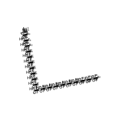 O=C(O)C(F)(F)F.O=C(O)C(F)(F)F.O=C(O)C(F)(F)F.O=C(O)C(F)(F)F.O=C(O)C(F)(F)F.O=C(O)C(F)(F)F.O=C(O)C(F)(F)F.O=C(O)C(F)(F)F.O=C(O)C(F)(F)F.O=C(O)C(F)(F)F.O=C(O)C(F)(F)F.O=C(O)C(F)(F)F.O=C(O)C(F)(F)F.O=C(O)C(F)(F)F.O=C(O)C(F)(F)F.O=C(O)C(F)(F)F.O=C(O)C(F)(F)F.O=C([O-])C(F)(F)F.O=C([O-])C(F)(F)F.O=C([O-])C(F)(F)F.[Ag+].[Ag+].[Ag+]